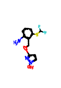 Nc1cccc(SC(F)F)c1COc1ccn(O)n1